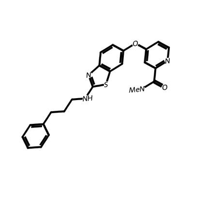 CNC(=O)c1cc(Oc2ccc3nc(NCCCc4ccccc4)sc3c2)ccn1